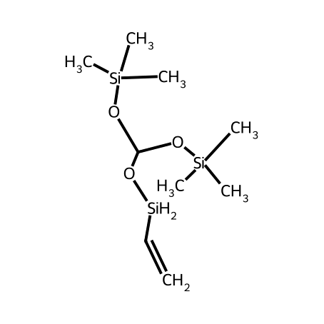 C=C[SiH2]OC(O[Si](C)(C)C)O[Si](C)(C)C